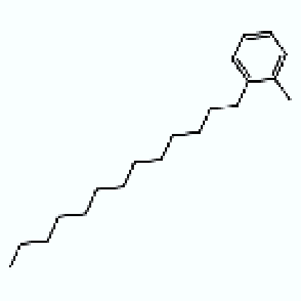 CCCCCCCCCCCCCc1ccccc1C